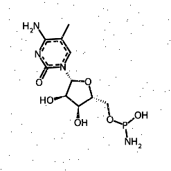 Cc1cn([C@@H]2O[C@H](COP(N)O)[C@@H](O)[C@H]2O)c(=O)nc1N